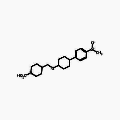 C[S+]([O-])c1ccc(C2CCC(OCC3CCN(C(=O)O)CC3)CC2)cc1